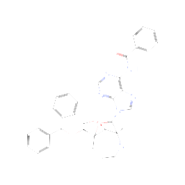 O=C(Nc1ncnc2c1ncn2[C@@H]1O[C@@]2(COCc3ccccc3)CCCN[C@@H]1[C@@H]2OCc1ccccc1)c1ccccc1